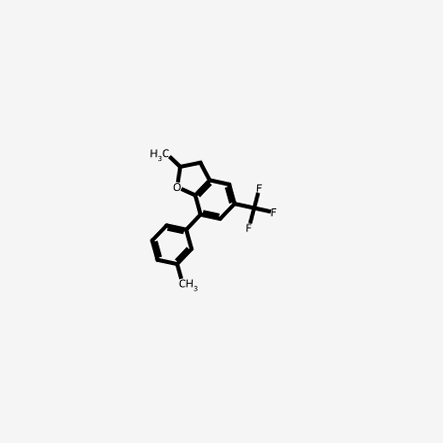 Cc1cccc(-c2cc(C(F)(F)F)cc3c2OC(C)C3)c1